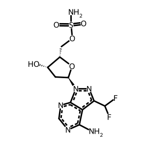 Nc1ncnc2c1c(C(F)F)nn2[C@H]1C[C@H](O)[C@H](COS(N)(=O)=O)O1